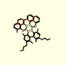 CCCCc1cc(C)c(OP(Oc2ccccc2C)Oc2ccccc2C)c(-c2c(C)c(CCCC)cc(C)c2OP(Oc2ccccc2C)Oc2ccccc2C)c1C